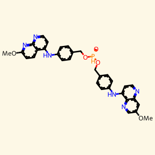 COc1cnc2c(Nc3ccc(CO[PH](=O)OCc4ccc(Nc5ccnc6nc(OC)ccc56)cc4)cc3)ccnc2c1